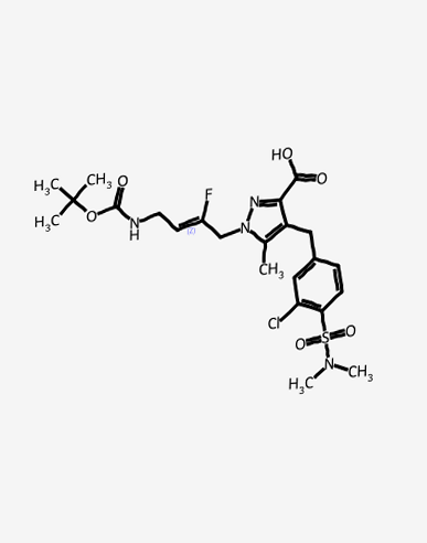 Cc1c(Cc2ccc(S(=O)(=O)N(C)C)c(Cl)c2)c(C(=O)O)nn1C/C(F)=C/CNC(=O)OC(C)(C)C